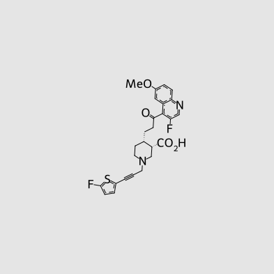 COc1ccc2ncc(F)c(C(=O)CC[C@H]3CCN(CC#Cc4ccc(F)s4)C[C@H]3C(=O)O)c2c1